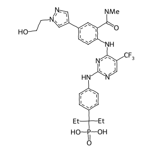 CCC(CC)(c1ccc(Nc2ncc(C(F)(F)F)c(Nc3ccc(-c4cnn(CCO)c4)cc3C(=O)NC)n2)cc1)P(=O)(O)O